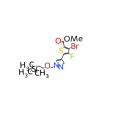 COC(=O)c1sc(-c2cnn(COCC[Si](C)(C)C)c2)c(F)c1Br